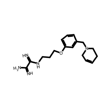 N=C(N)C(=N)NCCCOc1cccc(CN2CC=CCC2)c1